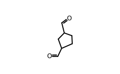 O=CC1CCC(C=O)C1